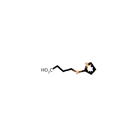 O=C(O)CCCSc1cccs1